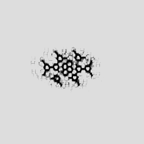 CC(C)(C)c1cc(-c2cc(-c3cc(C(C)(C)C)cc(C(C)(C)C)c3)cc(N(c3cc(C(C)(C)C)cc(C(C)(C)C)c3)c3ccc4ccc5c(N(c6cc(-c7cc(C(C)(C)C)cc(C(C)(C)C)c7)cc(-c7cc(C(C)(C)C)cc(C(C)(C)C)c7)c6)c6cc(C(C)(C)C)cc(C(C)(C)C)c6)ccc6ccc3c4c65)c2)cc(C(C)(C)C)c1